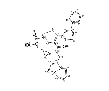 CC(C)(C)OC(=O)N1CCC(c2cccc(-c3ccccc3)c2)=C(C(=O)N(CC2=CSC3C=CC=CC23)C2CC2)C1